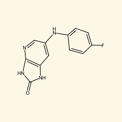 O=c1[nH]c2cc(Nc3ccc(F)cc3)cnc2[nH]1